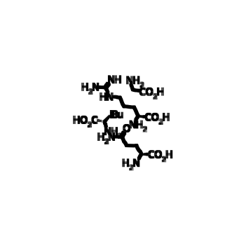 CC[C@H](C)[C@H](N)C(=O)O.N=C(N)NCCC[C@H](N)C(=O)O.NC(=O)CC[C@H](N)C(=O)O.NCC(=O)O